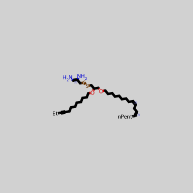 CCC#CCCCCCCCCOC(COCCCCCCCC/C=C\C/C=C\CCCCC)CSSC/C(N)=C/N